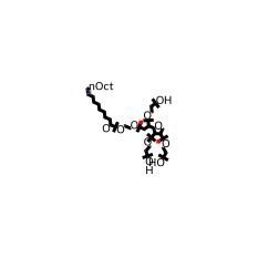 CCCCCCCC/C=C\CCCCCCCC(=O)C(C)(C)OCCOC(C)(C)CC(C1OCC(C(C)(C)OCCC(C)(C)O)C1C(C)(C)OCCC(C)(C)O)C(C)(C)OCCC(C)(C)O